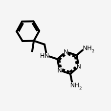 CC1(CNc2nc(N)nc(N)n2)C=CC=CC1